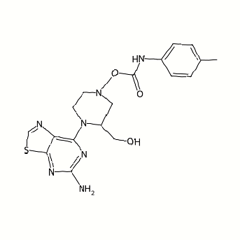 Cc1ccc(NC(=O)ON2CCN(c3nc(N)nc4scnc34)C(CO)C2)cc1